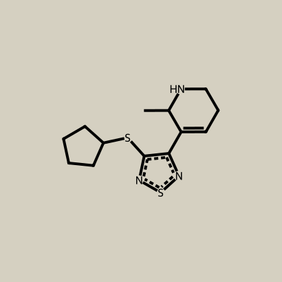 CC1NCCC=C1c1nsnc1SC1CCCC1